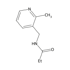 CCC(=O)NCc1cccnc1C